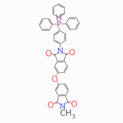 CN1C(=O)c2ccc(Oc3ccc4c(c3)C(=O)N(c3ccc([PH](c5ccccc5)(c5ccccc5)c5ccccc5)cc3)C4=O)cc2C1=O